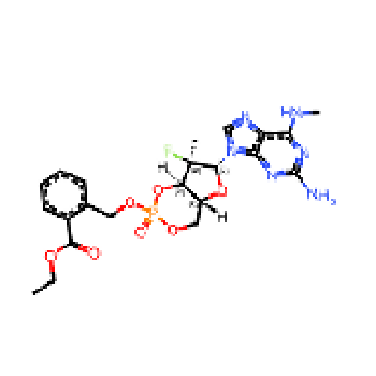 CCOC(=O)c1ccccc1COP1(=O)OC[C@H]2O[C@@H](n3cnc4c(NC)nc(N)nc43)[C@](C)(F)[C@@H]2O1